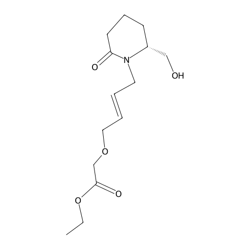 CCOC(=O)COCC=CCN1C(=O)CCC[C@@H]1CO